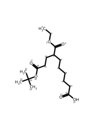 CCOC(=O)C([CH]CCCCC(=O)O)CCC(=O)OC(C)(C)C